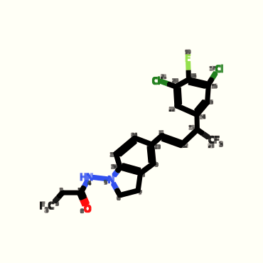 O=C(CC(F)(F)F)NN1CCc2cc(C=CC(c3cc(Cl)c(F)c(Cl)c3)C(F)(F)F)ccc21